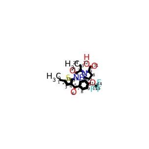 CCc1cc(C(=O)c2ccc(OC(F)(F)F)cc2)c(NC(=O)C(CC)N2CCCC2C(=O)O)s1